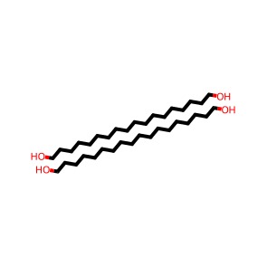 OCCCCCCCCCCCCCCCCCCO.OCCCCCCCCCCCCCCCCCCO